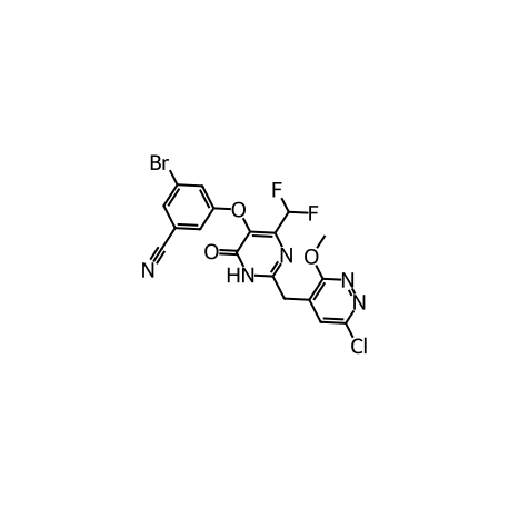 COc1nnc(Cl)cc1Cc1nc(C(F)F)c(Oc2cc(Br)cc(C#N)c2)c(=O)[nH]1